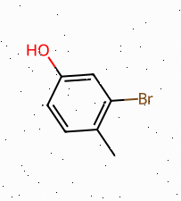 Cc1c[c]c(O)cc1Br